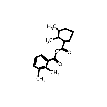 Cc1cccc(C(=O)OC(=O)C2CCCC(C)C2C)c1C